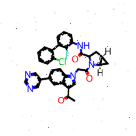 CC(=O)c1cn(CC(=O)N2C(C(=O)Nc3cccc(-c4ccccc4Cl)c3F)C[C@H]3C[C@H]32)c2ccc(-c3cncnc3)cc12